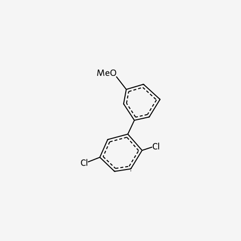 COc1cccc(-c2cc(Cl)c[c]c2Cl)c1